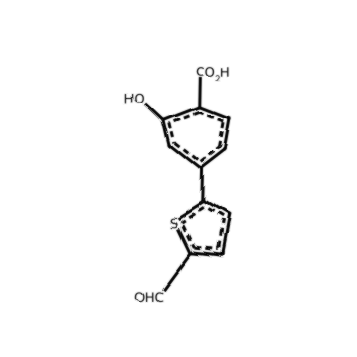 O=Cc1ccc(-c2ccc(C(=O)O)c(O)c2)s1